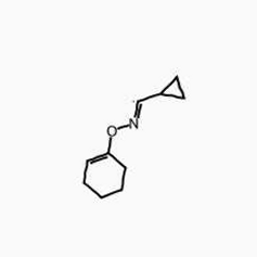 [C](=N\OC1=CCCCC1)/C1CC1